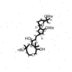 CCCCC1(C)CCCCC(O)C(C)(C)[C@H]([C@@H](O)CC[C@]2(C)CC(OC)C([C@@]3(C)CCC(C(C)(C)OC)O3)C2)C1